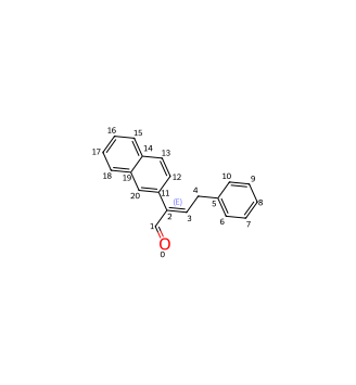 O=C/C(=C/Cc1ccccc1)c1ccc2ccccc2c1